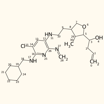 C=CCC(O)C1OCC(CCNc2cc(Cl)c(NCC3CCCCC3)nc2N=C)C1C